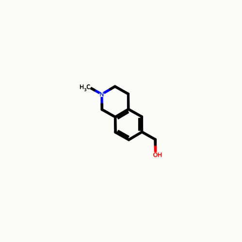 CN1CCc2cc(CO)ccc2C1